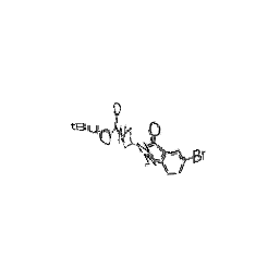 Cn1c2ccc(Br)cc2c(=O)n1C1CN(C(=O)OC(C)(C)C)C1